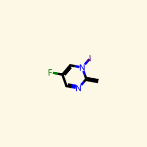 C=C1N=CC(F)=CN1I